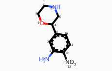 Nc1cc(C2CNCCO2)ccc1[N+](=O)[O-]